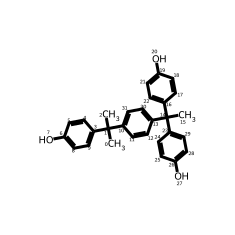 CC(C)(c1ccc(O)cc1)c1ccc(C(C)(c2ccc(O)cc2)c2ccc(O)cc2)cc1